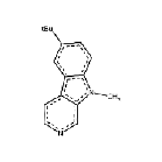 Cn1c2ccc(C(C)(C)C)cc2c2ccncc21